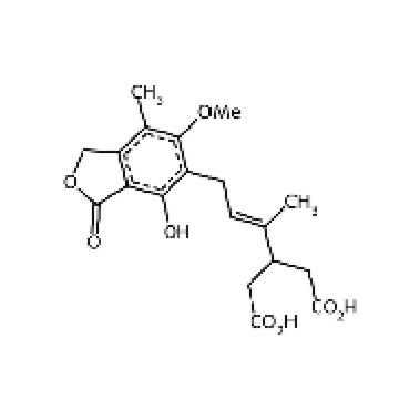 COc1c(C)c2c(c(O)c1C/C=C(\C)C(CC(=O)O)CC(=O)O)C(=O)OC2